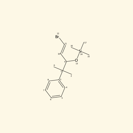 CC(C)(c1ccccc1)C(/C=C/Br)O[Si](C)(C)C